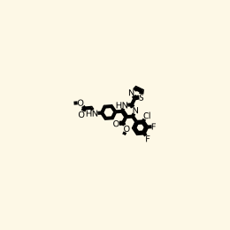 COC(=O)CNC1CCC(C2=C(C(=O)OC)C(c3ccc(F)c(F)c3Cl)N=C(c3nccs3)N2)CC1